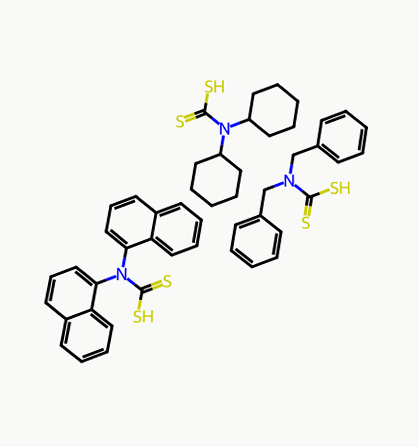 S=C(S)N(C1CCCCC1)C1CCCCC1.S=C(S)N(Cc1ccccc1)Cc1ccccc1.S=C(S)N(c1cccc2ccccc12)c1cccc2ccccc12